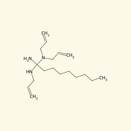 C=CCNC(N)(CCCCCCCC)N(CC=C)CC=C